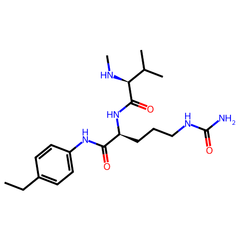 CCc1ccc(NC(=O)[C@H](CCCNC(N)=O)NC(=O)[C@@H](NC)C(C)C)cc1